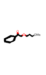 COCCCOCC(=O)c1ccccc1